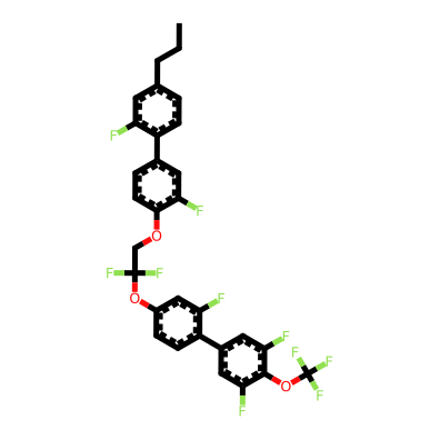 CCCc1ccc(-c2ccc(OCC(F)(F)Oc3ccc(-c4cc(F)c(OC(F)(F)F)c(F)c4)c(F)c3)c(F)c2)c(F)c1